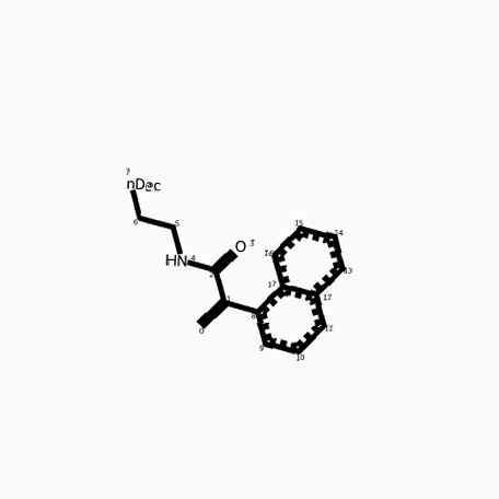 C=C(C(=O)NCCCCCCCCCCCC)c1cccc2ccccc12